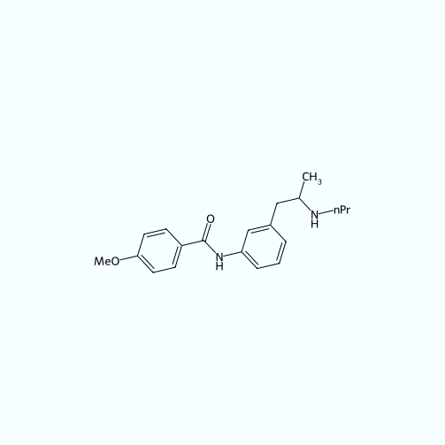 CCCNC(C)Cc1cccc(NC(=O)c2ccc(OC)cc2)c1